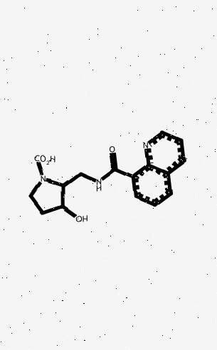 O=C(NCC1C(O)CCN1C(=O)O)c1cccc2cccnc12